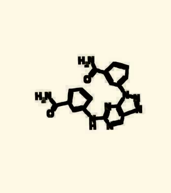 NC(=O)c1cccc(Nc2ncc3nnn(-c4cccc(C(N)=O)c4)c3n2)c1